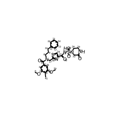 COc1cc(C(=O)N(CCCc2ccccc2)Cc2nc(C(=O)NS(=O)(=O)N3CCNC(=O)C3)cs2)cc(OC)c1C